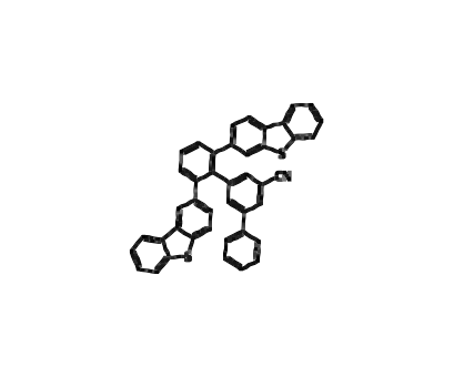 N#Cc1cc(-c2ccccc2)cc(-c2c(-c3ccc4c(c3)sc3ccccc34)cccc2-c2ccc3sc4ccccc4c3c2)c1